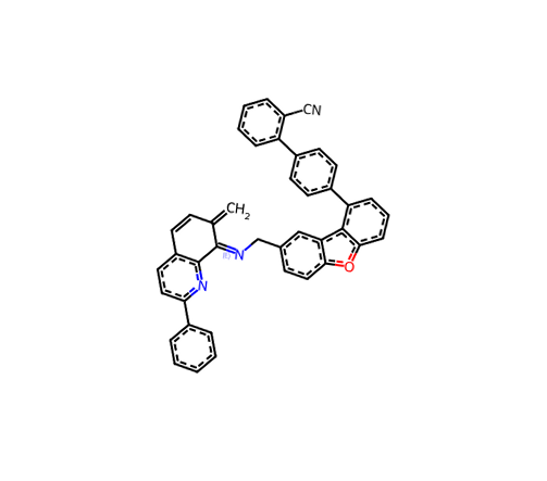 C=C1C=Cc2ccc(-c3ccccc3)nc2/C1=N/Cc1ccc2oc3cccc(-c4ccc(-c5ccccc5C#N)cc4)c3c2c1